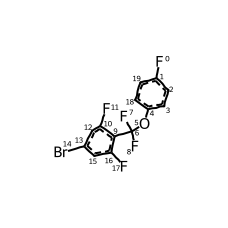 Fc1ccc(OC(F)(F)c2c(F)cc(Br)cc2F)cc1